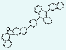 c1ccc2cc(-c3c4ccccc4c(-c4ccc(-c5ccc6cc7c(cc6c5)oc5ccc6ccccc6c57)cc4)c4ccccc34)ccc2c1